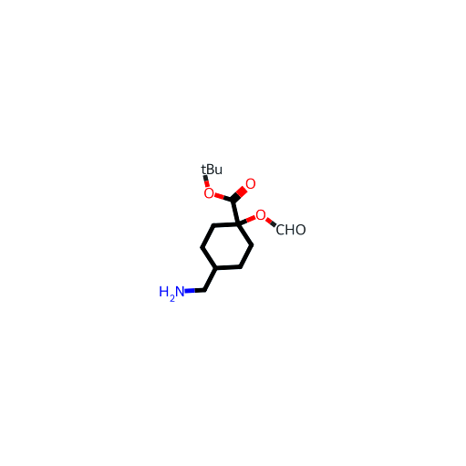 CC(C)(C)OC(=O)C1(OC=O)CCC(CN)CC1